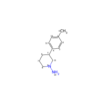 Cc1ccc(C2CCCN(N)C2)cc1